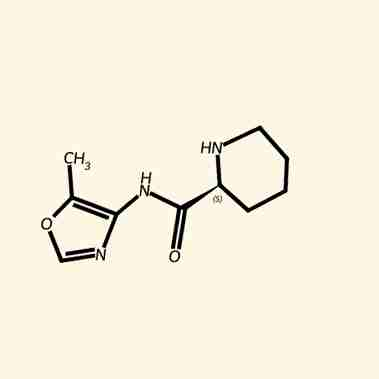 Cc1ocnc1NC(=O)[C@@H]1CCCCN1